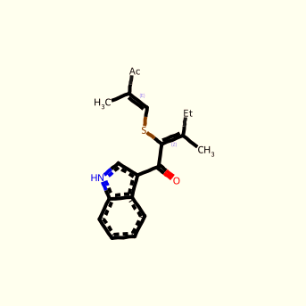 CC/C(C)=C(\S/C=C(\C)C(C)=O)C(=O)c1c[nH]c2ccccc12